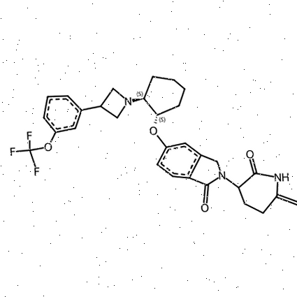 C=C1CCC(N2Cc3cc(O[C@H]4CCCC[C@@H]4N4CC(c5cccc(OC(F)(F)F)c5)C4)ccc3C2=O)C(=O)N1